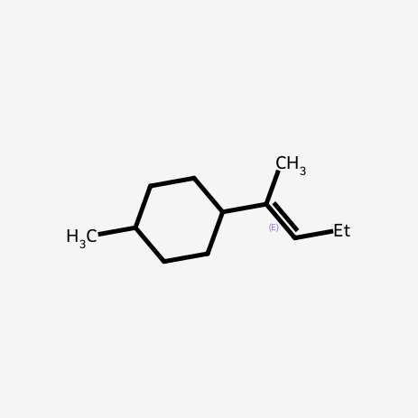 CC/C=C(\C)C1CCC(C)CC1